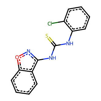 S=C(Nc1ccccc1Cl)Nc1noc2ccccc12